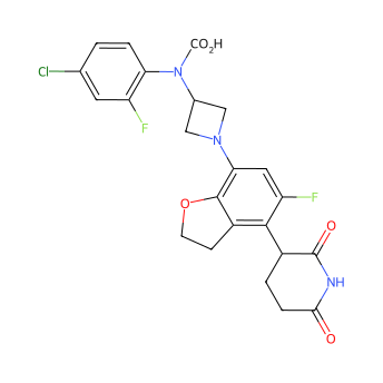 O=C1CCC(c2c(F)cc(N3CC(N(C(=O)O)c4ccc(Cl)cc4F)C3)c3c2CCO3)C(=O)N1